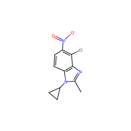 Cc1nc2c(Cl)c([N+](=O)[O-])ccc2n1C1CC1